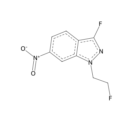 O=[N+]([O-])c1ccc2c(F)nn(CCF)c2c1